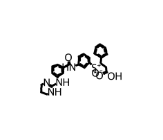 O=C(O)CC(c1ccccc1)[S+]([O-])c1cccc(NC(=O)c2cccc(NC3=NCCCN3)c2)c1